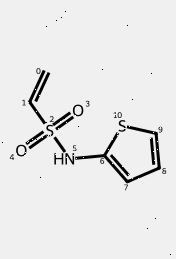 C=CS(=O)(=O)Nc1cccs1